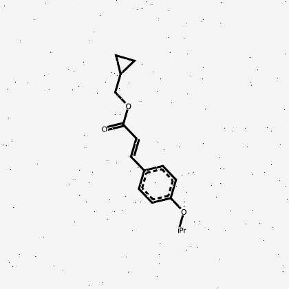 CC(C)Oc1ccc(/C=C/C(=O)OCC2CC2)cc1